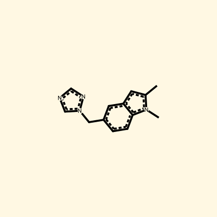 Cc1cc2cc(Cn3cncn3)ccc2n1C